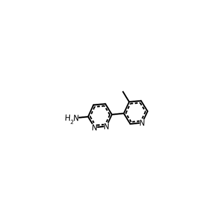 Cc1ccncc1-c1ccc(N)nn1